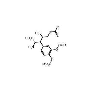 CCOC(=O)Oc1ccc(C(C(C)COC(=O)CC)[C@H](N)C(=O)O)cc1OC(=O)OCC